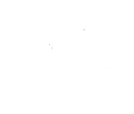 CC1(C)CCCC([C@H](O)c2cccc(F)c2)N1Cc1ccccc1